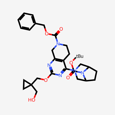 CC(C)(C)OC(=O)N1C2CCC1CN(c1nc(OCC3(CO)CC3)nc3c1CCN(C(=O)OCc1ccccc1)C3)C2